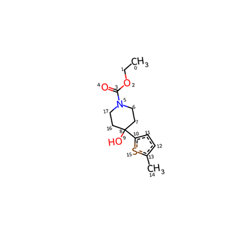 CCOC(=O)N1CCC(O)(c2ccc(C)s2)CC1